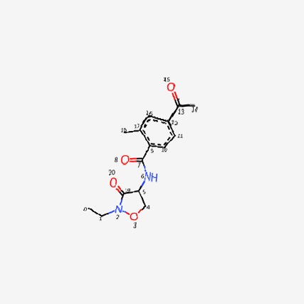 CCN1OCC(NC(=O)c2ccc(C(C)=O)cc2C)C1=O